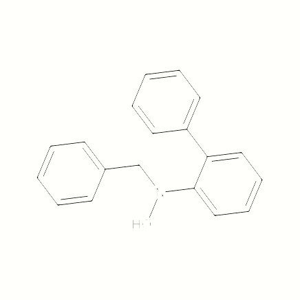 ON(Cc1ccccc1)c1ccccc1-c1ccccc1